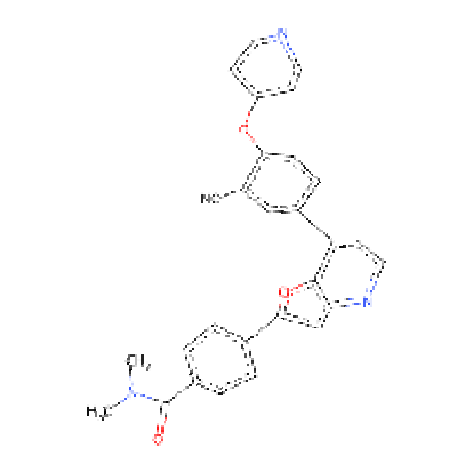 CN(C)C(=O)c1ccc(-c2cc3nccc(-c4ccc(Oc5ccncc5)c(C#N)c4)c3o2)cc1